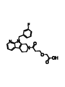 O=C(O)COCCC(=O)N1CCc2c(n(Cc3cccc(F)c3)c3ncccc23)C1